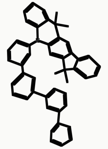 CC1(C)c2ccccc2-c2cc3c(cc21)N(c1cccc(-c2cccc(-c4cccc(-c5ccccc5)c4)c2)c1)c1ccccc1C3(C)C